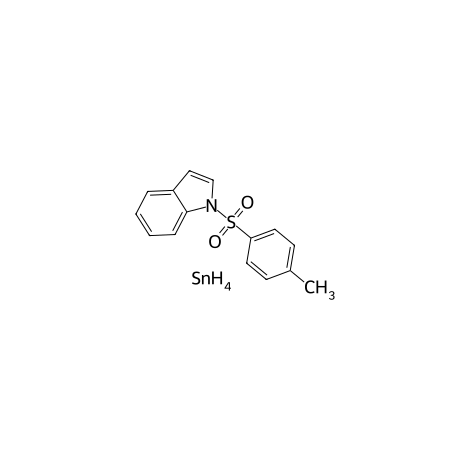 Cc1ccc(S(=O)(=O)n2ccc3ccccc32)cc1.[SnH4]